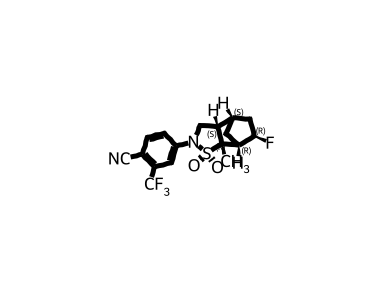 C[C@]12[C@H](CN(c3ccc(C#N)c(C(F)(F)F)c3)S1(=O)=O)[C@@H]1C[C@@H](F)[C@H]2C1